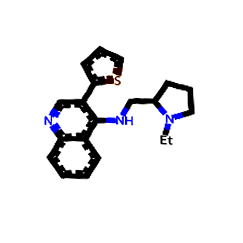 CCN1CCCC1CNc1c(-c2cccs2)cnc2ccccc12